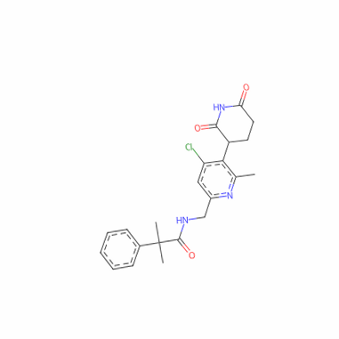 Cc1nc(CNC(=O)C(C)(C)c2ccccc2)cc(Cl)c1C1CCC(=O)NC1=O